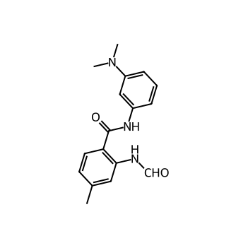 Cc1ccc(C(=O)Nc2cccc(N(C)C)c2)c(NC=O)c1